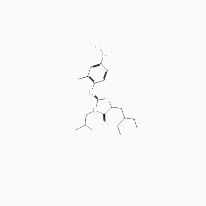 CCC(CC)CC1SC(=Nc2ccc([N+](=O)[O-])cc2C)N(CC(C)C)C1=O